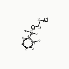 Cc1ccccc1[Si](C)(C)OCCCl